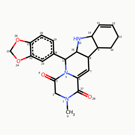 CN1CC(=O)N2C(=CC3C4CCC=CC4NC3C2c2ccc3c(c2)OCO3)C1=O